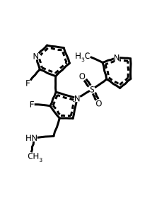 CNCc1cn(S(=O)(=O)c2cccnc2C)c(-c2cccnc2F)c1F